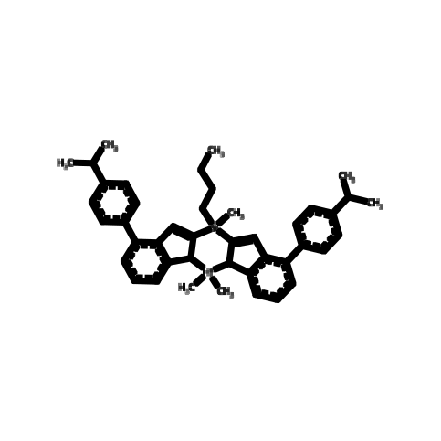 CCCC[Si]1(C)C2=Cc3c(-c4ccc(C(C)C)cc4)cccc3[CH]2[Hf]([CH3])([CH3])[CH]2C1=Cc1c(-c3ccc(C(C)C)cc3)cccc12